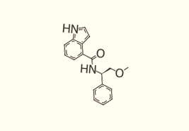 COC[C@H](NC(=O)c1cccc2[nH]ccc12)c1ccccc1